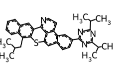 CC(C)Cc1c2c(cc3ccccc13)-c1nccc3c1c(cc1ccc(-c4nc(C(C)C)nc(C(C)C)n4)cc13)S2